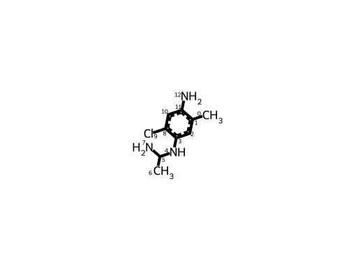 Cc1cc(NC(C)N)c(Cl)cc1N